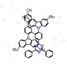 CC(C)(C)c1ccc2c(c1)c1cc(C(C)(C)C)ccc1n2-c1ccc(-c2ccc(C#N)cc2)cc1-c1cc(-c2nc(-c3ccccc3)nc(-c3ccccc3)n2)ccc1-n1c2ccc(C(C)(C)C)cc2c2cc(C(C)(C)C)ccc21